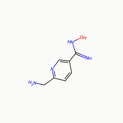 N=C(NO)c1ccc(CN)nc1